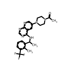 CC(=O)N1CCN(c2cnc3ncnc(NC(C)c4cccc(C(F)(F)F)c4C)c3c2)CC1